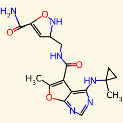 Cc1oc2ncnc(NC3(C)CC3)c2c1C(=O)NCC1C=C(C(N)=O)ON1